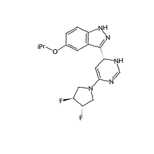 CC(C)Oc1ccc2[nH]nc([C@H]3C=C(N4C[C@H](F)[C@@H](F)C4)N=CN3)c2c1